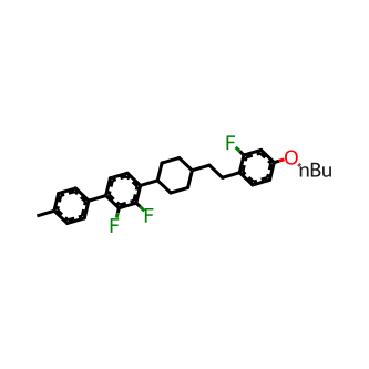 CCCCOc1ccc(CCC2CCC(c3ccc(-c4ccc(C)cc4)c(F)c3F)CC2)c(F)c1